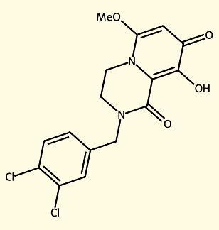 COc1cc(=O)c(O)c2n1CCN(Cc1ccc(Cl)c(Cl)c1)C2=O